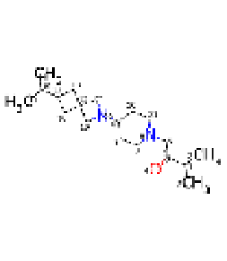 CC(C)C(=O)CN1CCC(N2CC3(CC(C(C)C)C3)C2)CC1